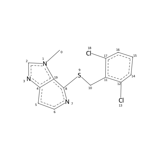 Cn1cnc2ccnc(SCc3c(Cl)cccc3Cl)c21